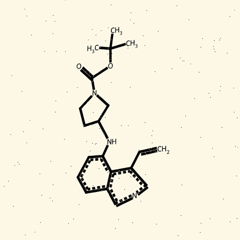 C=Cc1cncc2cccc(NC3CCN(C(=O)OC(C)(C)C)C3)c12